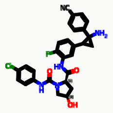 N#Cc1ccc(C2(N)CC2c2ccc(F)c(NC(=O)[C@H]3C[C@@H](O)CN3C(=O)Nc3ccc(Cl)cc3)c2)cc1